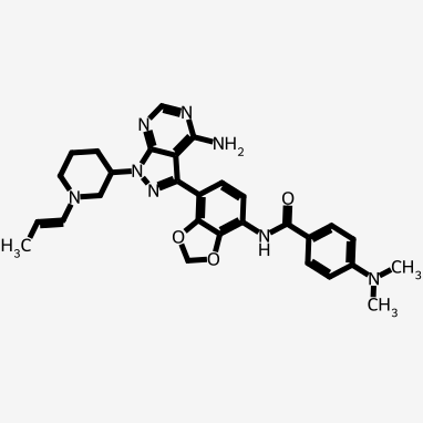 CC=CN1CCCC(n2nc(-c3ccc(NC(=O)c4ccc(N(C)C)cc4)c4c3OCO4)c3c(N)ncnc32)C1